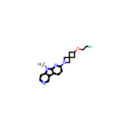 Cn1c2ccncc2c2ccc(N3CC4(CC(OCCF)C4)C3)nc21